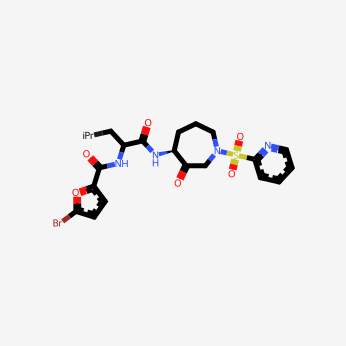 CC(C)CC(NC(=O)c1ccc(Br)o1)C(=O)N[C@H]1CCCN(S(=O)(=O)c2ccccn2)CC1=O